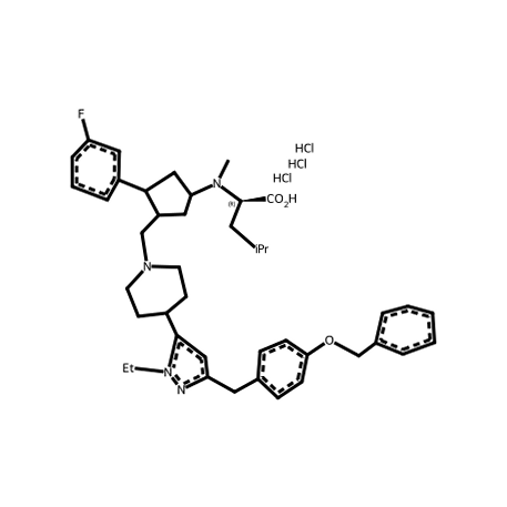 CCn1nc(Cc2ccc(OCc3ccccc3)cc2)cc1C1CCN(CC2CC(N(C)[C@H](CC(C)C)C(=O)O)CC2c2cccc(F)c2)CC1.Cl.Cl.Cl